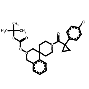 CC(C)(C)OC(=O)ON1Cc2ccccc2C2(CCN(C(=O)C3(c4ccc(Cl)cc4)CC3)CC2)C1